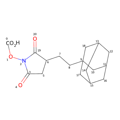 O=C(O)ON1C(=O)CC(CCC23CC4CC(CC(C4)C2)C3)C1=O